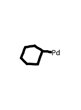 [Pd][CH]1CCCCC1